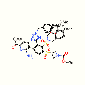 COC(=O)c1ccc(-c2ccc(S(=O)(=O)C3CN(C(=O)OC(C)(C)C)C3)c(S(=O)(=O)N(Cc3ccc(OC)cc3)Cc3ccc(OC)cc3)c2-c2nnn(Cc3ccc(OC)cc3)n2)c(N)n1